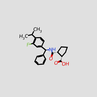 CC(C)c1ccc([C@@H](NC(=O)[C@@H]2CCC[C@@H]2C(=O)O)c2ccccc2)cc1F